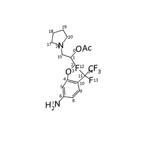 CC(=O)OC(COc1cc(N)ccc1C(F)(F)C(F)(F)F)CN1CCCC1